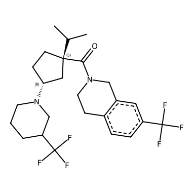 CC(C)[C@]1(C(=O)N2CCc3ccc(C(F)(F)F)cc3C2)CC[C@@H](N2CCCC(C(F)(F)F)C2)C1